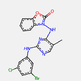 Cc1cnc(Nc2cc(Cl)cc(Br)c2)nc1Nn1c(=O)oc2ccccc21